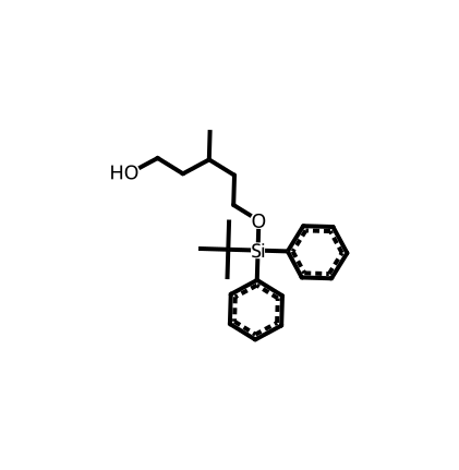 CC(CCO)CCO[Si](c1ccccc1)(c1ccccc1)C(C)(C)C